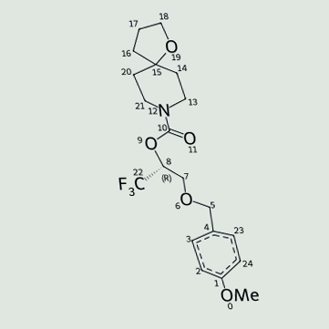 COc1ccc(COC[C@@H](OC(=O)N2CCC3(CCCO3)CC2)C(F)(F)F)cc1